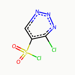 O=S(=O)(Cl)c1cnnnc1Cl